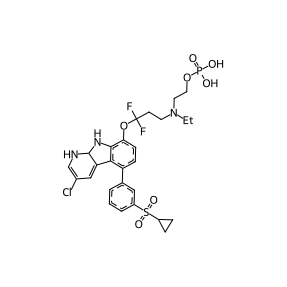 CCN(CCOP(=O)(O)O)CCC(F)(F)Oc1ccc(-c2cccc(S(=O)(=O)C3CC3)c2)c2c1NC1NC=C(Cl)C=C21